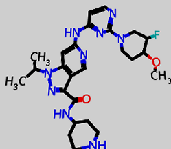 COC1CCN(c2nccc(Nc3cc4c(cn3)c(C(=O)NC3CCNCC3)nn4C(C)C)n2)CC1F